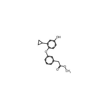 COC(=O)Cc1cccc(Oc2ccc(O)cc2C2CC2)c1